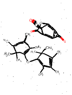 CC1=C(C)C(C)(C)[C]([Cr][C]2=C(C)C(C)=C(C)C2(C)C)=C1C.O=C=C1[C]2=c3c(=O)c3=C1[C](=O)[Cr]2